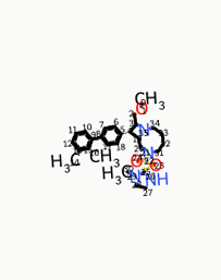 COCC1[C@@H](c2ccc(-c3cccc(C)c3C)cc2)C2CN(S(=O)(=O)C3NCCN3C)CCCCN12